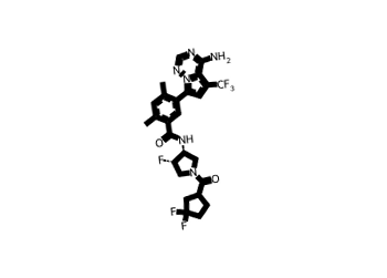 Cc1cc(C)c(-c2cc(C(F)(F)F)c3c(N)ncnn23)cc1C(=O)N[C@@H]1CN(C(=O)C2CCC(F)(F)C2)C[C@@H]1F